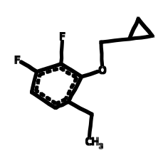 CCc1ccc(F)c(F)c1OCC1CC1